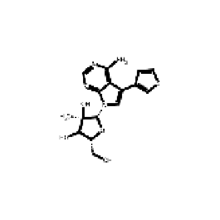 C[C@@]1(O)C(O)[C@@H](CO)O[C@H]1n1cc(-c2ccsc2)c2c(N)ncnc21